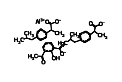 CC(=O)c1cccc(C(=O)[O-])c1O.CC(C)Cc1ccc(C(C)C(=O)[O-])cc1.CC(C)Cc1ccc(C(C)C(=O)[O-])cc1.[Al+3]